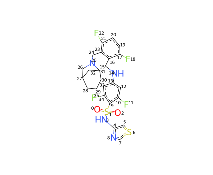 O=S(=O)(Nc1cscn1)c1c(F)cc(NCc2c(F)ccc(F)c2CN2CC3CCCC2C3)cc1F